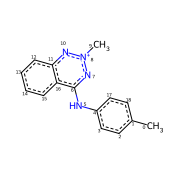 Cc1ccc(Nc2n[n+](C)nc3ccccc23)cc1